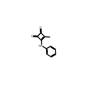 Cc1c(Nc2ccccc2)c(=O)c1=O